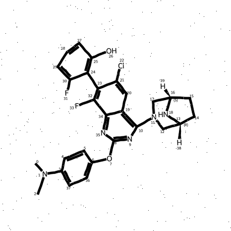 CN(C)c1ccc(Oc2nc(N3C[C@H]4CC[C@@H](C3)N4)c3cc(Cl)c(-c4c(O)cccc4F)c(F)c3n2)cc1